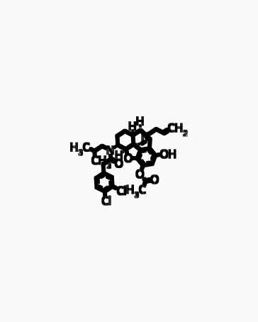 C=CCN1CC[C@]23c4c5c(O)cc(OC(C)=O)c4O[C@H]2[C@@H](N(CC(C)C)C(=O)Cc2ccc(Cl)c(Cl)c2)CC[C@H]3[C@H]1C5